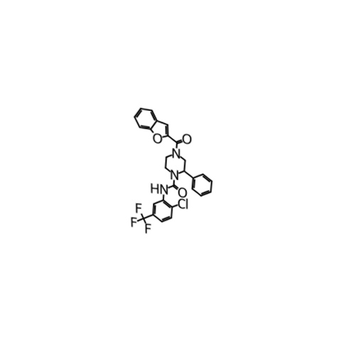 O=C(c1cc2ccccc2o1)N1CCN(C(=O)Nc2cc(C(F)(F)F)ccc2Cl)C(c2ccccc2)C1